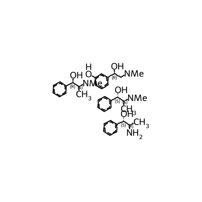 CNC[C@H](O)c1cccc(O)c1.CN[C@@H](C)[C@@H](O)c1ccccc1.CN[C@@H](C)[C@H](O)c1ccccc1.C[C@@H](N)[C@@H](O)c1ccccc1